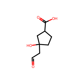 O=CCC1(O)CCC(C(=O)O)C1